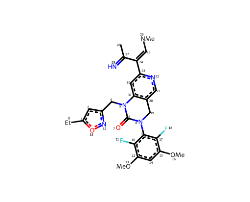 CCc1cc(CN2C(=O)N(c3c(F)c(OC)cc(OC)c3F)Cc3cnc(/C(=C/NC)C(C)=N)cc32)no1